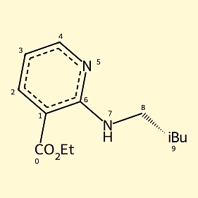 CCOC(=O)c1cccnc1NC[C@@H](C)CC